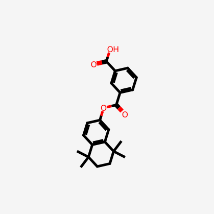 CC1(C)CCC(C)(C)c2cc(OC(=O)c3cccc(C(=O)O)c3)ccc21